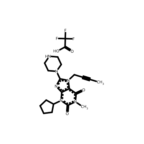 CC#CCn1c(N2CCNCC2)nc2c1c(=O)n(C)c(=O)n2C1CCCC1.O=C(O)C(F)(F)F